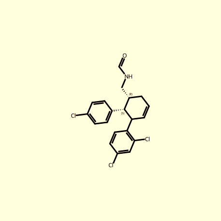 O=CNC[C@@H]1CC=CC(c2ccc(Cl)cc2Cl)[C@@H]1c1ccc(Cl)cc1